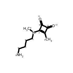 Cc1c(N(C)CCCCN)c(=O)c1=O